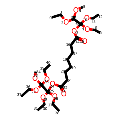 CCOC(OC)C(OCC)(OCC)OC(=O)CCCCCCC(=O)OC(OCC)(OCC)C(OC)(OCC)OCC